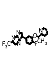 CC(Oc1cc(-c2cnc3nc(C(F)(F)F)cnn23)ccc1F)c1ccccn1